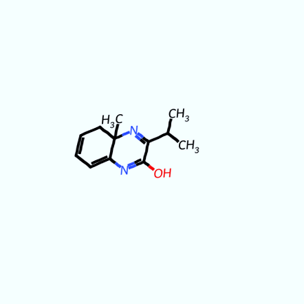 CC(C)C1=NC2(C)CC=CC=C2N=C1O